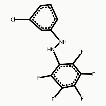 Fc1c(F)c(F)c(NNc2cccc(Cl)c2)c(F)c1F